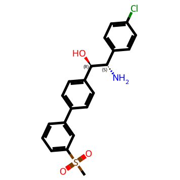 CS(=O)(=O)c1cccc(-c2ccc([C@@H](O)[C@@H](N)c3ccc(Cl)cc3)cc2)c1